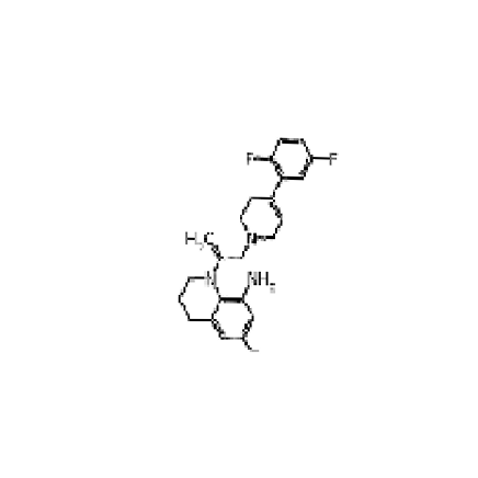 C=C(CN1CC=C(c2cc(F)ccc2F)CC1)N1CCCc2cc(F)cc(N)c21